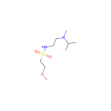 COCCS(=O)(=O)NCCN(C)C(C)C